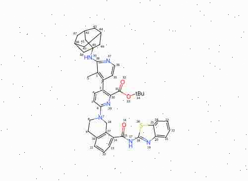 Cc1c(-c2ccc(N3CCc4cccc(C(=O)Nc5nc6ccccc6s5)c4C3)nc2C(=O)OC(C)(C)C)ccnc1NC12CC3CC(CC(C3)C1)C2